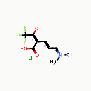 C[N+](C)=C/C=C/C(C(=O)O)=C(\O)C(F)(F)F.[Cl-]